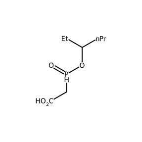 CCCC(CC)O[PH](=O)CC(=O)O